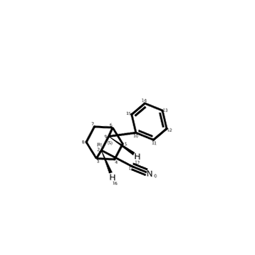 N#C[C@@H]1C2CCC(CC2)[C@@H]1c1ccccc1